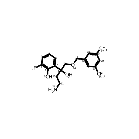 Cc1c(F)cccc1C(O)(CCN)COCc1cc(C(F)(F)F)cc(C(F)(F)F)c1